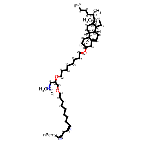 CCCCC/C=C\C/C=C\CCCCCCCCOCC(CN(C)C)OCCCCCCCCOC1CC[C@]2(C)C(=CC[C@@H]3[C@H]4CC[C@@H]([C@@H](C)CCCC(C)C)[C@]4(C)CC[C@H]32)C1